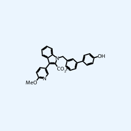 COc1ccc(-c2c(C(=O)O)n(Cc3cccc(-c4ccc(O)cc4)c3)c3ccccc23)cn1